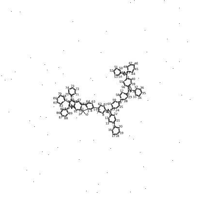 CC1(C)c2cc(-c3ccc(N(c4ccc(-c5ccccc5)cc4)c4ccc(-c5ccc(N(c6ccccc6)c6ccc(N(c7ccccc7)c7ccccc7)cc6)cc5)cc4)cc3)ccc2-c2cc3c(-c4ccccc4)c(-c4ccccc4)n(-c4ccccc4)c3cc21